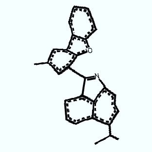 Cc1cc(C2=Nc3ccc(C(C)C)c4cccc2c34)c2oc3ccccc3c2c1